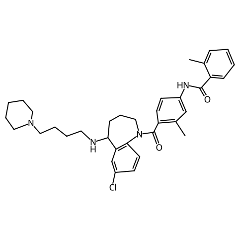 Cc1ccccc1C(=O)Nc1ccc(C(=O)N2CCCC(NCCCCN3CCCCC3)c3cc(Cl)ccc32)c(C)c1